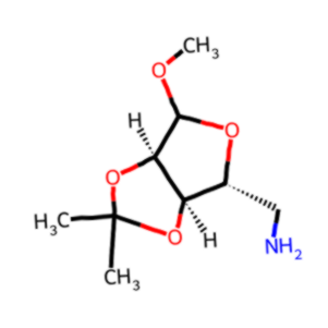 COC1O[C@H](CN)[C@H]2OC(C)(C)O[C@@H]12